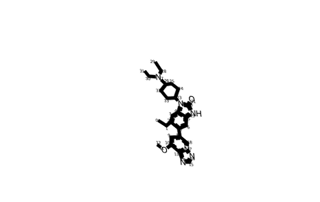 CCc1cc2c(cc1-c1cc(OC)c3ncnn3c1)[nH]c(=O)n2C1CCC(N(CC)CC)CC1